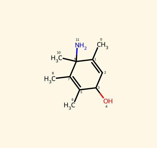 CC1=CC(O)C(C)=C(C)C1(C)N